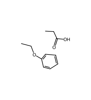 CCC(=O)O.CCOc1ccccc1